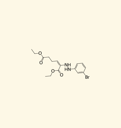 CCOC(=O)CC/C=C(/NNc1cccc(Br)c1)C(=O)OCC